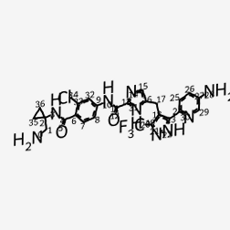 NCC1(NC(=O)c2ccc(NC(=O)c3ncc(Cc4c(C(F)(F)F)n[nH]c4-c4ccc(N)cn4)[nH]3)cc2Cl)CC1